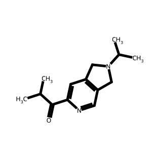 CC(C)C(=O)c1cc2c(cn1)CN(C(C)C)C2